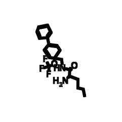 CCCCC(N)C(=O)NCC1(OC(F)(F)F)C=CC(c2ccccc2)=CC1